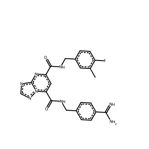 Cc1cc(CNC(=O)c2cc(C(=O)NCc3ccc(C(=N)N)cc3)n3ncnc3n2)ccc1F